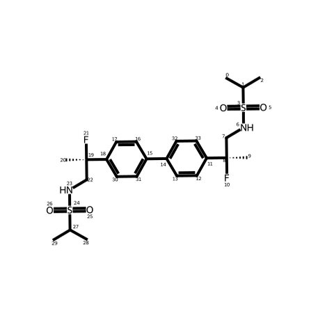 CC(C)S(=O)(=O)NC[C@@](C)(F)c1ccc(-c2ccc([C@](C)(F)CNS(=O)(=O)C(C)C)cc2)cc1